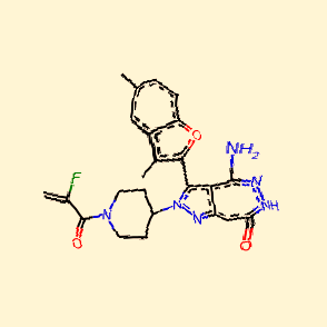 C=C(F)C(=O)N1CCC(n2nc3c(=O)[nH]nc(N)c3c2-c2oc3ccc(C)cc3c2C)CC1